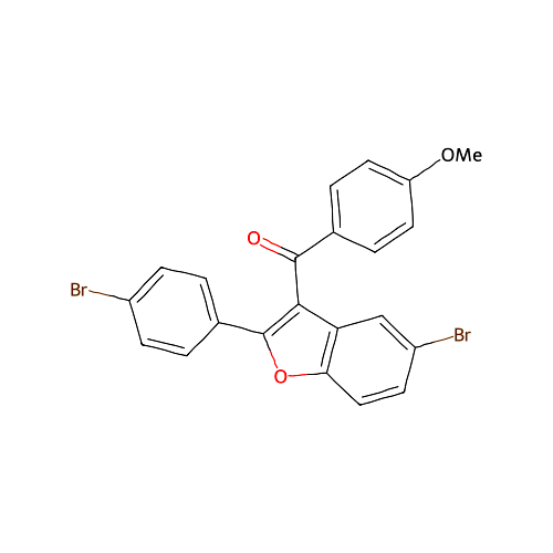 COc1ccc(C(=O)c2c(-c3ccc(Br)cc3)oc3ccc(Br)cc23)cc1